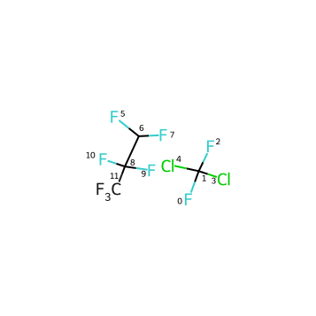 FC(F)(Cl)Cl.FC(F)C(F)(F)C(F)(F)F